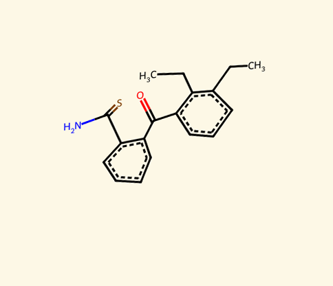 CCc1cccc(C(=O)c2ccccc2C(N)=S)c1CC